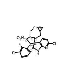 O=CC[C@H]1[C@@H]([N+](=O)[O-])[C@H](c2cccc(Cl)c2F)[C@]2(C(=O)Nc3nc(Cl)ccc32)N1CC1CC1